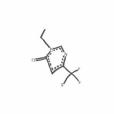 CCn1cnc(C(F)(F)F)cc1=O